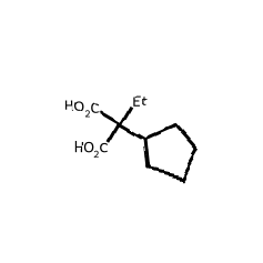 CCC(C(=O)O)(C(=O)O)C1CCCC1